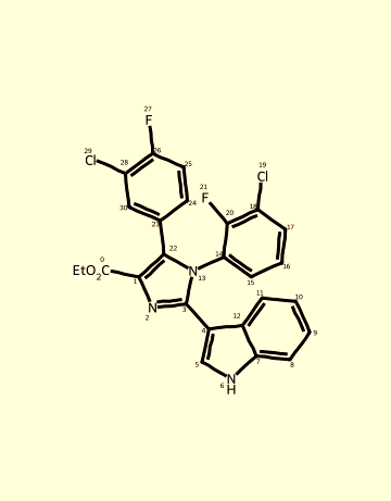 CCOC(=O)c1nc(-c2c[nH]c3ccccc23)n(-c2cccc(Cl)c2F)c1-c1ccc(F)c(Cl)c1